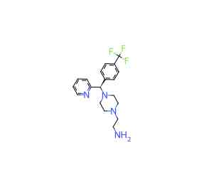 NCCN1CCN([C@H](c2ccc(C(F)(F)F)cc2)c2ccccn2)CC1